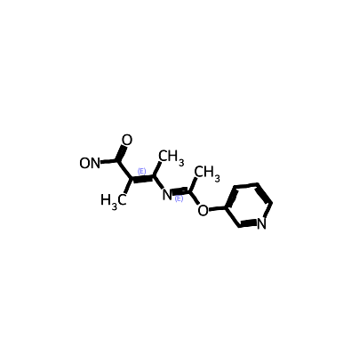 C/C(=N\C(C)=C(/C)C(=O)N=O)Oc1cccnc1